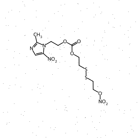 Cc1ncc([N+](=O)[O-])n1CCOC(=O)OCCSSCCO[N+](=O)[O-]